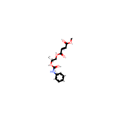 COC(=O)/C=C/C(=O)OC[C@@H](C)OC(=O)Nc1ccccc1